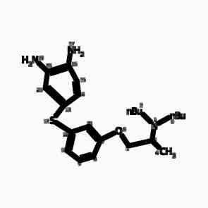 CCCCN(CCCC)C(C)COc1cccc(Sc2ccc(N)c(N)c2)c1